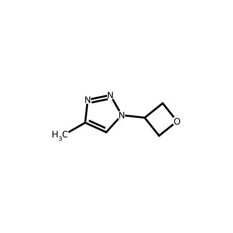 Cc1cn(C2COC2)nn1